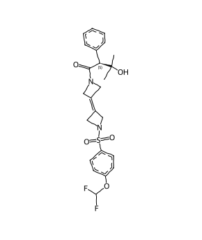 CC(C)(O)[C@@H](C(=O)N1CC(=C2CN(S(=O)(=O)c3ccc(OC(F)F)cc3)C2)C1)c1ccccc1